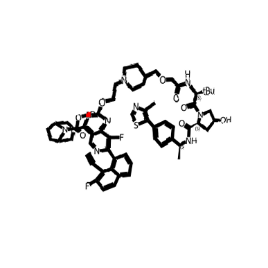 C#Cc1c(F)ccc2cccc(-c3ncc4c(N5CC6CCC(C5)N6C(=O)OC(C)(C)C)nc(OCCN5CCC(COCC(=O)N[C@H](C(=O)N6CC(O)C[C@H]6C(=O)N[C@@H](C)c6ccc(-c7scnc7C)cc6)C(C)(C)C)CC5)nc4c3F)c12